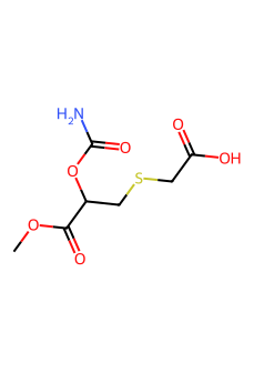 COC(=O)C(CSCC(=O)O)OC(N)=O